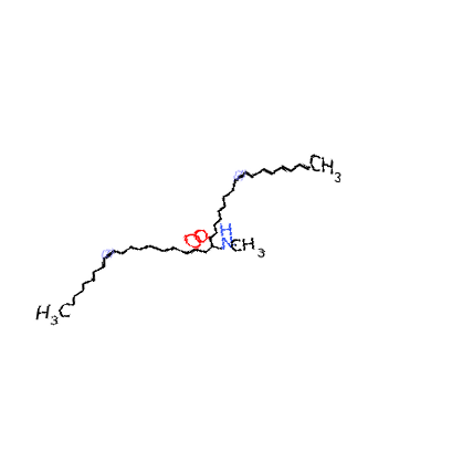 CCCCCCCC/C=C\CCCCCCCC(=O)CC(CNC)C(=O)CCCCCCC/C=C\CCCCCCCC